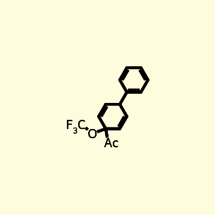 CC(=O)C1(OC(F)(F)F)C=CC(c2ccccc2)C=C1